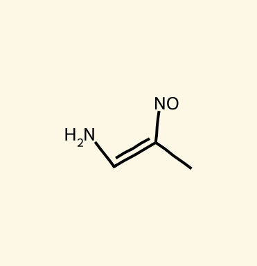 C/C(=C/N)N=O